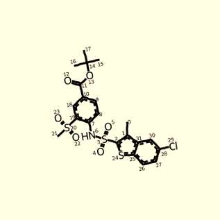 Cc1c(S(=O)(=O)Nc2ccc(C(=O)OC(C)(C)C)cc2S(C)(=O)=O)sc2ccc(Cl)cc12